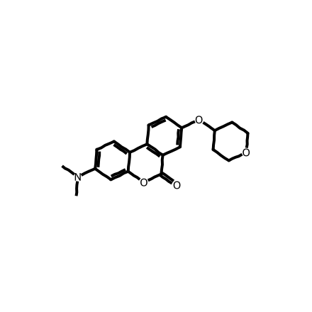 CN(C)c1ccc2c(c1)oc(=O)c1cc(OC3CCOCC3)ccc12